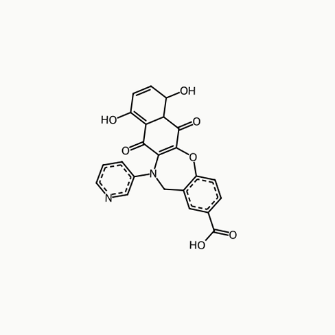 O=C1C2=C(O)C=CC(O)C2C(=O)C2=C1N(c1cccnc1)Cc1cc(C(=O)O)ccc1O2